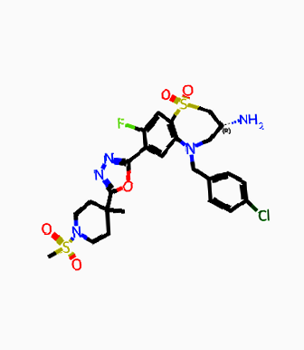 CC1(c2nnc(-c3cc4c(cc3F)S(=O)(=O)C[C@H](N)CN4Cc3ccc(Cl)cc3)o2)CCN(S(C)(=O)=O)CC1